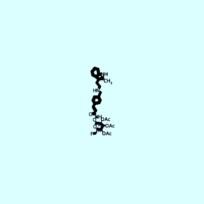 CC(=O)O[C@H]1[C@@H](OC(C)=O)[C@@H](CF)O[C@@H](ONC(=O)/C=C/c2ccc(CNCCc3c(C)[nH]c4ccccc34)cc2)[C@@H]1OC(C)=O